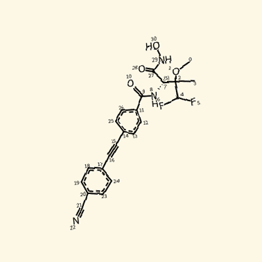 COC(C)(C(F)F)[C@H](NC(=O)c1ccc(C#Cc2ccc(C#N)cc2)cc1)C(=O)NO